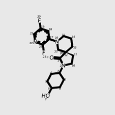 O=C1N(C2CCC(O)CC2)CC[C@@]12CCCN(c1cc(F)cnc1F)C2